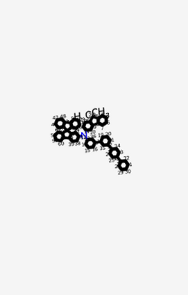 CC1(C)c2ccccc2-c2cc(N(c3cccc(-c4cccc(-c5ccc(-c6ccccc6)cc5)c4)c3)c3ccc4c(c3)C3(c5ccccc5-c5ccccc53)c3ccccc3-4)ccc21